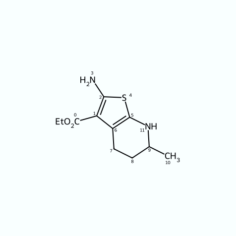 CCOC(=O)c1c(N)sc2c1CCC(C)N2